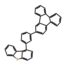 c1cc(-c2ccc3c4ccccc4c4ccccc4c3c2)cc(-c2cccc3sc4ccccc4c23)c1